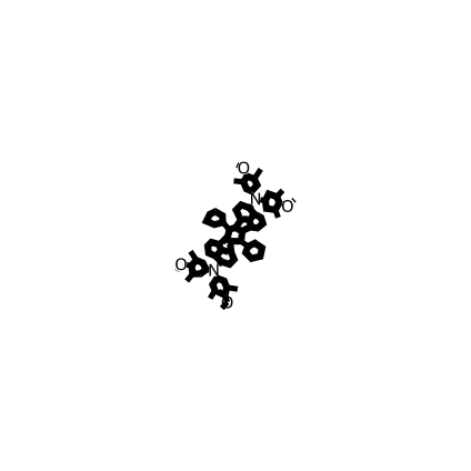 COc1c(C)cc(N(c2cc(C)c(OC)c(C)c2)c2ccc3c4c(-c5ccccc5)c5c6cccc7c(N(c8cc(C)c(OC)c(C)c8)c8cc(C)c(OC)c(C)c8)ccc(c5c(-c5ccccc5)c4c4cccc2c43)c76)cc1C